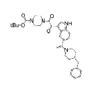 C=C(c1ccc2[nH]cc(C(=O)C(=O)N3CCN(C(=O)OC(C)(C)C)CC3)c2c1)N1CCC(Cc2ccccc2)CC1